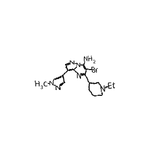 CCN1CCCC(c2nc3c(-c4cnn(C)c4)cnn3c(N)c2Br)C1